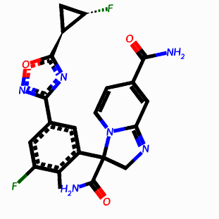 Cc1c(F)cc(-c2noc([C@H]3C[C@@H]3F)n2)cc1C1(C(N)=O)CN=C2C=C(C(N)=O)C=CN21